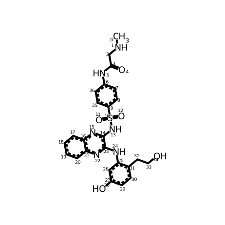 CNCC(=O)Nc1ccc(S(=O)(=O)Nc2nc3ccccc3nc2Nc2cc(O)ccc2CCO)cc1